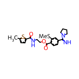 CSc1cc(C(=N)N2CCCC2)ccc1C(=O)OCCNC(=O)c1ccc(C)s1